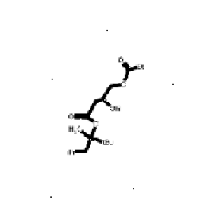 CCC(=O)OCC(O)CC(=O)OC(C)(CC(C)C)C(C)(C)C